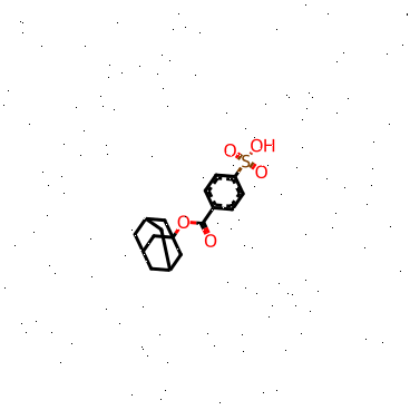 O=C(OC12CC3CC(CC(C3)C1)C2)c1ccc(S(=O)(=O)O)cc1